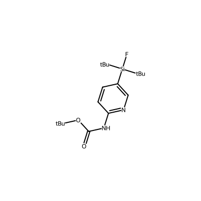 CC(C)(C)OC(=O)Nc1ccc([Si](F)(C(C)(C)C)C(C)(C)C)cn1